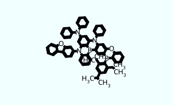 CC(C)c1cc(C(C)C)c(B2c3ccccc3Oc3cc4c(cc32)B2c3ccccc3N(c3ccc5c(c3)oc3ccccc35)c3cc(N(c5ccccc5)c5ccccc5)cc(c32)N4c2ccccc2)c(C(C)C)c1